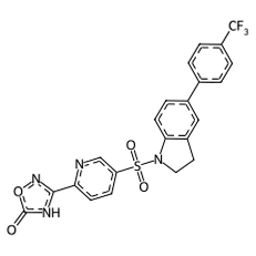 O=c1[nH]c(-c2ccc(S(=O)(=O)N3CCc4cc(-c5ccc(C(F)(F)F)cc5)ccc43)cn2)no1